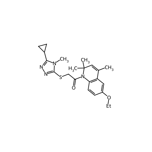 CCOc1ccc2c(c1)C(C)=CC(C)(C)N2C(=O)CSc1nnc(C2CC2)n1C